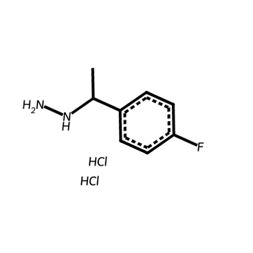 CC(NN)c1ccc(F)cc1.Cl.Cl